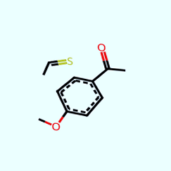 CC=S.COc1ccc(C(C)=O)cc1